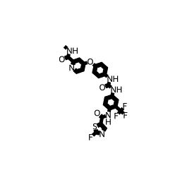 CNC(=O)c1cc(Oc2ccc(NC(=O)Nc3ccc(NC(=O)c4cnc(F)s4)c(C(F)(F)F)c3)cc2)ccn1